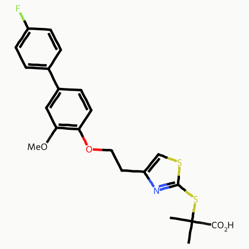 COc1cc(-c2ccc(F)cc2)ccc1OCCc1csc(SC(C)(C)C(=O)O)n1